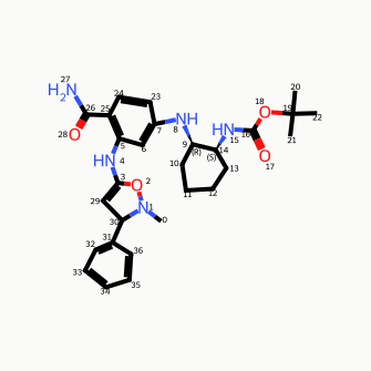 CN1OC(Nc2cc(N[C@@H]3CCCC[C@@H]3NC(=O)OC(C)(C)C)ccc2C(N)=O)=CC1c1ccccc1